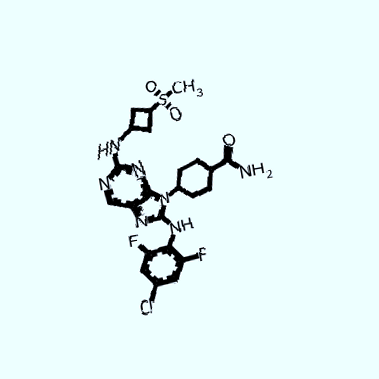 CS(=O)(=O)C1CC(Nc2ncc3nc(Nc4c(F)cc(Cl)cc4F)n(C4CCC(C(N)=O)CC4)c3n2)C1